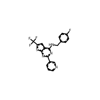 Fc1ccc(CNc2nc(-c3cccnc3)nc3sc(C(F)(F)F)cc23)cc1